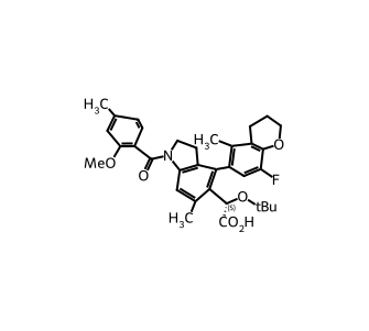 COc1cc(C)ccc1C(=O)N1CCc2c1cc(C)c([C@H](OC(C)(C)C)C(=O)O)c2-c1cc(F)c2c(c1C)CCCO2